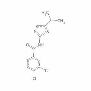 CC(C)c1cnc(NC(=O)c2ccc(Cl)c(Cl)c2)s1